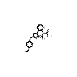 C=Cc1ccc(Cc2cc(-c3cccnc3N(C(=O)O)C(=O)O)on2)cc1